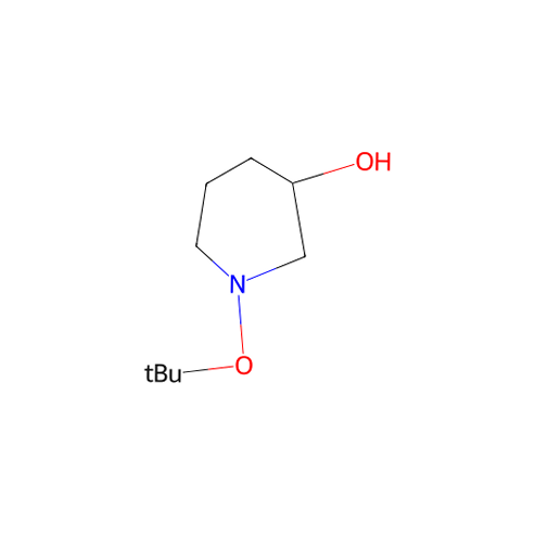 CC(C)(C)ON1CCCC(O)C1